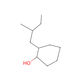 CCC(C)CC1CCCCC1O